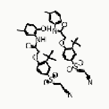 Cc1ccc(O)c(NC(=O)COc2ccc(S(=O)(=O)/C=C/C#N)cc2C(C)(C)C)c1.Cc1ccc2oc(COc3ccc(S(=O)(=O)/C=C/C#N)cc3C(C)(C)C)nc2c1